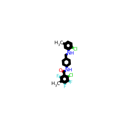 Cc1ccc(Cl)c(NCC2CCC(NC(=O)c3c(F)c(C)c(F)c(F)c3Cl)CC2)c1